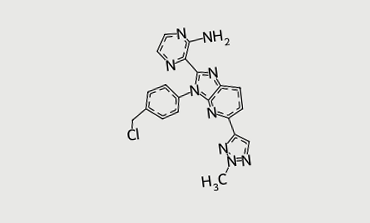 Cn1ncc(-c2ccc3nc(-c4nccnc4N)n(-c4ccc(CCl)cc4)c3n2)n1